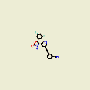 N#Cc1cccc(C#Cc2cncc([C@H]3NC(=O)O[C@@H]3c3cc(F)cc(F)c3)c2)c1